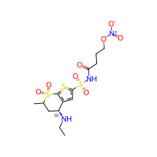 CCN[C@H]1CC(C)S(=O)(=O)c2sc(S(=O)(=O)NC(=O)CCCO[N+](=O)[O-])cc21